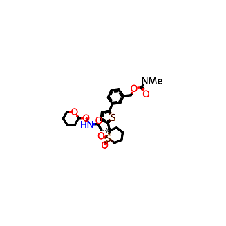 CNC(=O)OCc1cccc(-c2ccc([C@@]3(CC(=O)NOC4CCCCO4)CCCCS3(=O)=O)s2)c1